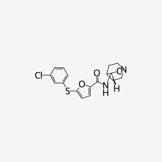 O=C(N[C@H]1CN2CCC1CC2)c1ccc(Sc2cccc(Cl)c2)o1